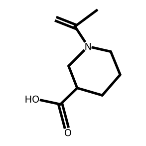 C=C(C)N1CCCC(C(=O)O)C1